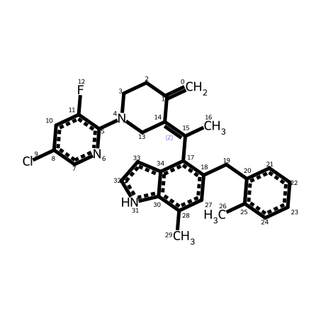 C=C1CCN(c2ncc(Cl)cc2F)C/C1=C(/C)c1c(Cc2ccccc2C)cc(C)c2[nH]ccc12